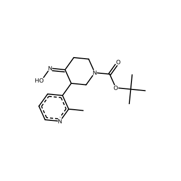 Cc1ncccc1C1CN(C(=O)OC(C)(C)C)CC/C1=N/O